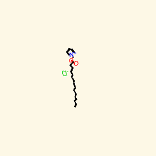 CCCCCCCCCCCCCCCC(=O)OC[n+]1ccccc1.[Cl-]